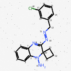 NN1c2ccccc2N=C(N=NCc2cccc(Cl)c2)C12CCC2